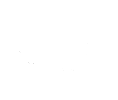 C=CC(=O)N1CC(Oc2cc3c(Nc4ccc(Oc5ncn(-c6ccc(C)nc6)n5)cc4F)ncnc3cc2OC)C1